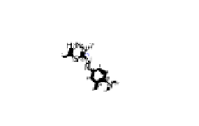 C=C(C)S/C(N=Nc1ccc(N(C)C)c(C)c1)=[N+](/C)N